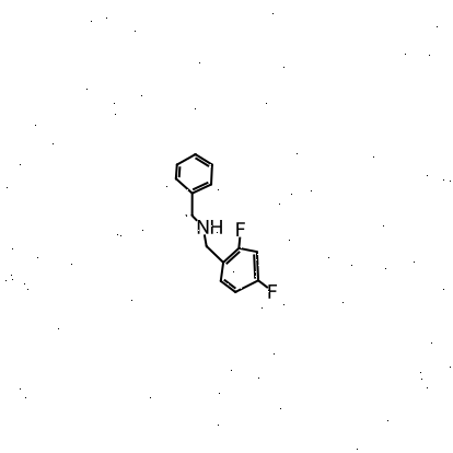 Fc1ccc(CN[CH]c2ccccc2)c(F)c1